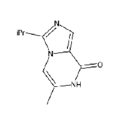 Cc1cn2c(C(C)C)ncc2c(=O)[nH]1